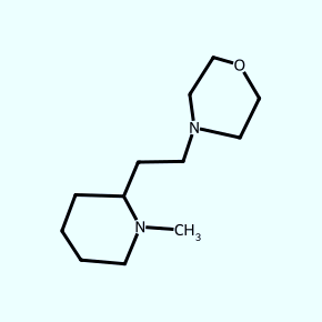 CN1CCCCC1CCN1CCOCC1